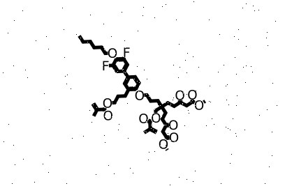 C=C(C)C(=O)OCCCc1cc(-c2cc(F)c(OCCCCCC)c(F)c2)ccc1OCCCC(CCC(=O)CC(=O)OC)(CCC(=O)CC(=O)OC)COC(=O)C(=C)C